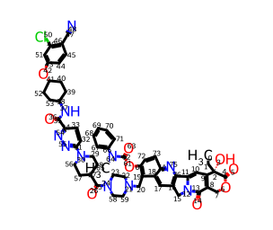 CC[C@@]1(O)C(=O)OCc2c1cc1n(c2=O)Cc2cc3c(CN4CCN(C(=O)C5CCN(c6ccc(C(=O)NC7CCC(Oc8ccc(C#N)c(Cl)c8)CC7)nn6)CC5)CC4)c(OC(=O)N(C)c4ccccc4)ccc3nc2-1